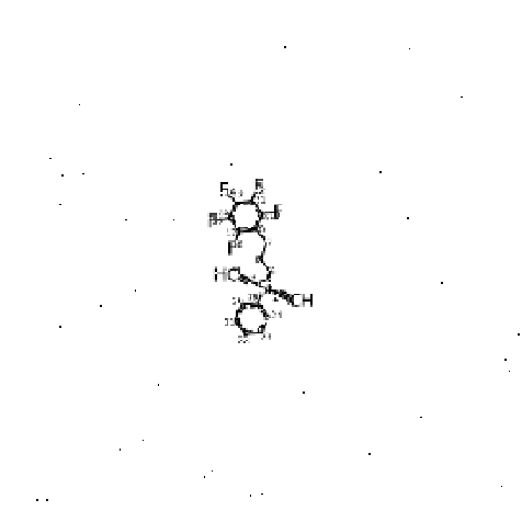 C#C[Si](C#C)(CCCc1c(F)c(F)c(F)c(F)c1F)c1ccccc1